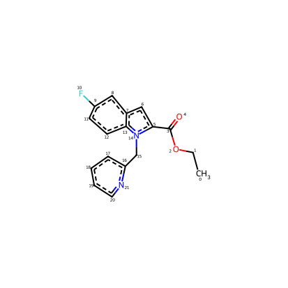 CCOC(=O)c1cc2cc(F)ccc2n1Cc1ccccn1